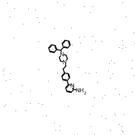 Nc1cccc(-c2ccc(CCN3CCN(C(c4ccccc4)c4ccccc4)CC3)cc2)n1